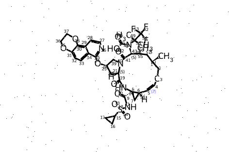 C[C@H]1CC/C=C\[C@@H]2C[C@@]2(C(=O)NS(=O)(=O)C2CC2)NC(=O)[C@@H]2C[C@@H](Oc3nccc4c5c(ccc34)OCCO5)CN2C(=O)[C@@H](N(C(=O)O)C(C)(C)C(F)(F)F)[C@H](C)C1